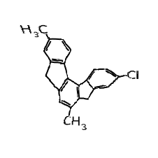 Cc1ccc2c(c1)Cc1cc(C)c3c(c1-2)-c1ccc(Cl)cc1C3